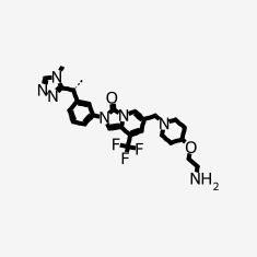 C[C@H](c1cccc(-n2cc3c(C(F)(F)F)cc(CN4CCC(OCCN)CC4)cn3c2=O)c1)c1nncn1C